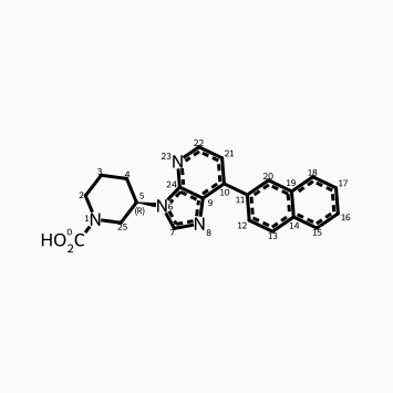 O=C(O)N1CCC[C@@H](n2cnc3c(-c4ccc5ccccc5c4)ccnc32)C1